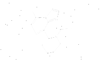 CC(C)(C)CN1CCCCC1c1ccc(C(=O)O)n2ccnc12